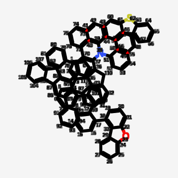 c1ccc(-c2ccccc2-c2c(-c3ccccc3-c3cccc4oc5ccccc5c34)ccc3c2-c2c(c(N(c4ccccc4-c4ccccc4)c4ccccc4-c4cccc5sc6ccccc6c45)c(-c4ccccc4)c(-c4ccccc4)c2-c2c4c(cc(-c5ccccc5)c2-c2ccccc2)-c2ccccc2C4)C3)cc1